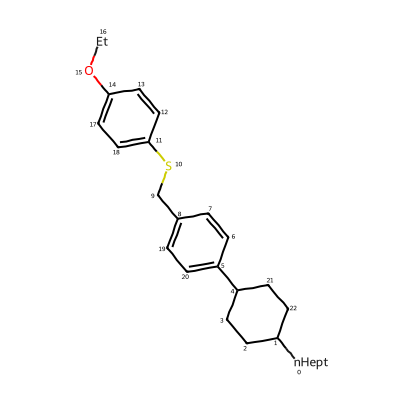 CCCCCCCC1CCC(c2ccc(CSc3ccc(OCC)cc3)cc2)CC1